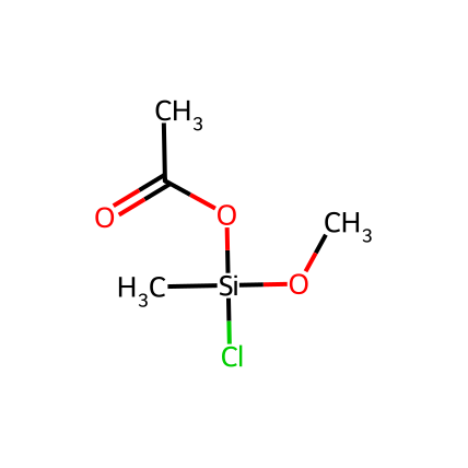 CO[Si](C)(Cl)OC(C)=O